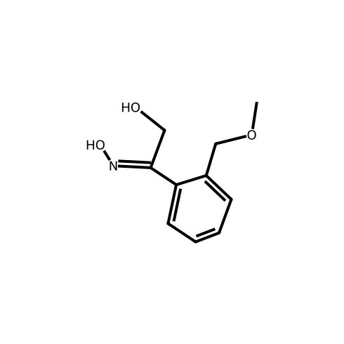 COCc1ccccc1C(CO)=NO